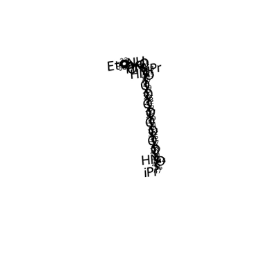 CCc1ccc(NC(=O)CNC(=O)C(NC(=O)CCOCCOCCOCCOCCOCCOCCOCCOCCNC(=O)CCC(C)C)C(C)C)cc1